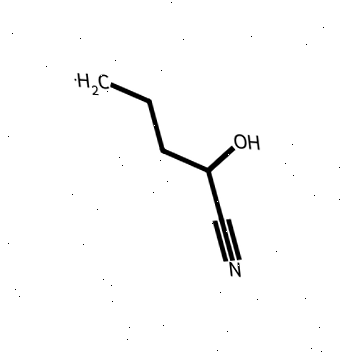 [CH2]CCC(O)C#N